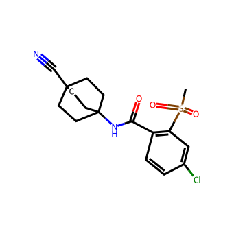 CS(=O)(=O)c1cc(Cl)ccc1C(=O)NC12CCC(C#N)(CC1)CC2